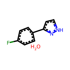 Fc1ccc(-c2cc[nH]n2)cc1.O